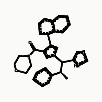 C[C@@H](c1ccccc1)C(c1cnc[nH]1)n1cc(C(=O)N2CCOCC2)c(-c2cccc3ccccc23)c1